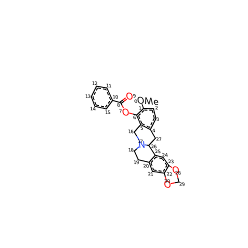 COc1ccc2c(c1OC(=O)c1ccccc1)CN1CCc3cc4c(cc3C1C2)OCO4